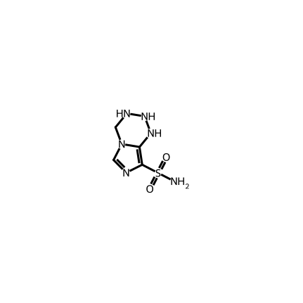 NS(=O)(=O)c1ncn2c1NNNC2